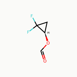 O=CO[C@@H]1CC1(F)F